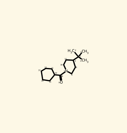 CC(C)(C)C1CCN(C(=O)C2CCCCC2)CC1